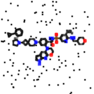 O=C(NS(=O)(=O)c1cnc(NCC2CCOCC2)c([N+](=O)[O-])c1)c1ccc(N2CCC3(CC2)CC(N2CCC[C@@H]2c2ccccc2C2CC2)C3)cc1N1CCOc2nc3[nH]ccc3cc21